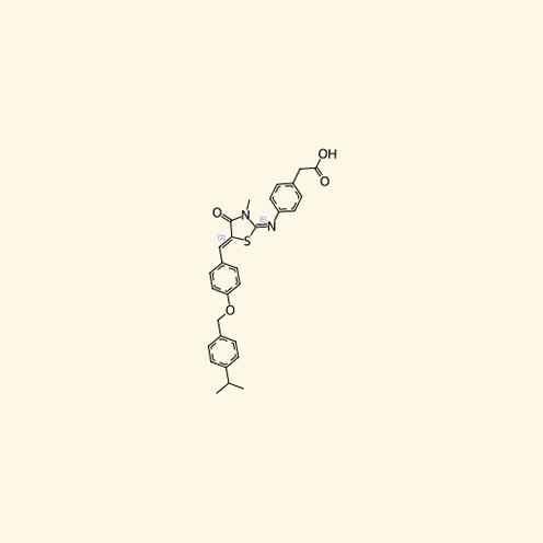 CC(C)c1ccc(COc2ccc(/C=C3\S/C(=N/c4ccc(CC(=O)O)cc4)N(C)C3=O)cc2)cc1